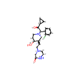 O=C1CN(C/C=C2/CN(C(C(=O)C3CC3)c3ccccc3F)CCC2O)CCN1